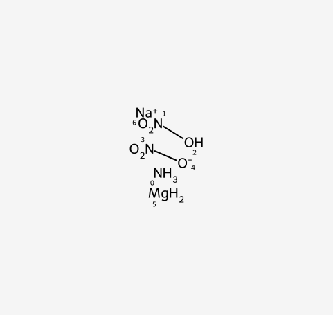 N.O=[N+]([O-])O.O=[N+]([O-])[O-].[MgH2].[Na+]